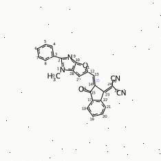 Cn1c(-c2ccccc2)nc2oc(/C=C3\C(=O)c4ccccc4C3=C(C#N)C#N)cc21